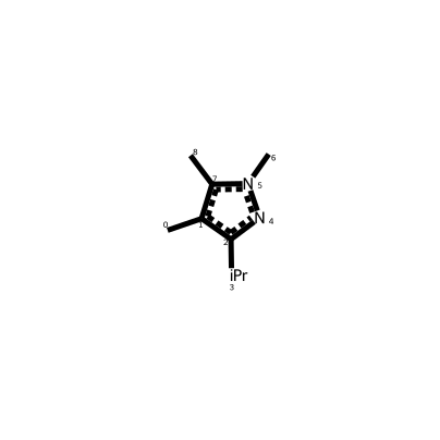 Cc1c(C(C)C)nn(C)c1C